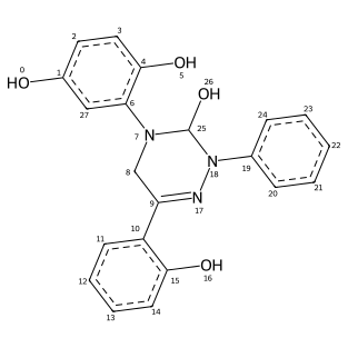 Oc1ccc(O)c(N2CC(c3ccccc3O)=NN(c3ccccc3)C2O)c1